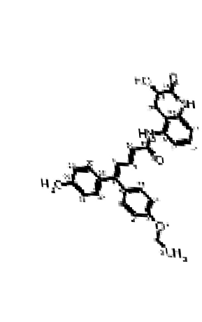 CCOc1ccc(/C(=C\C=C\C(=O)Nc2cccc3c2CC(O)C(=O)N3)c2ccc(C)cc2)cc1